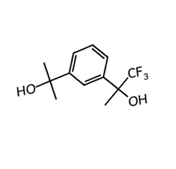 CC(C)(O)c1cccc(C(C)(O)C(F)(F)F)c1